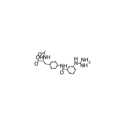 CC(=O)N[C@@H](Cc1ccc(NC(=O)c2cccc(NC(=N)N)c2)cc1)C(=O)O